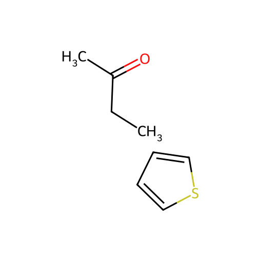 CCC(C)=O.c1ccsc1